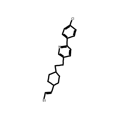 CCC=CC1CCC(CCc2ccc(-c3ccc(Cl)cc3)nc2)CC1